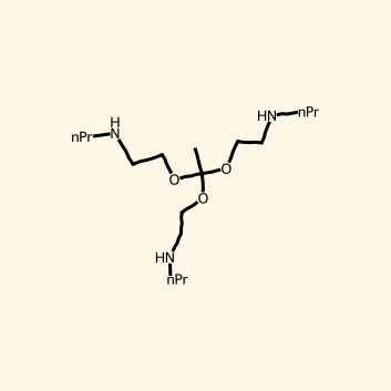 CCCNCCOC(C)(OCCNCCC)OCCNCCC